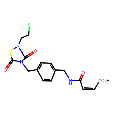 O=C(O)/C=C\C(=O)NCc1ccc(Cn2c(=O)sn(CCCl)c2=O)cc1